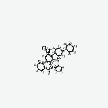 C[C](C)=[Zr+2]([C]1=CC=CC1)[c]1c(-c2ccccc2)ccc2c1Cc1cc(-c3ccccc3)ccc1-2.[Cl-].[Cl-]